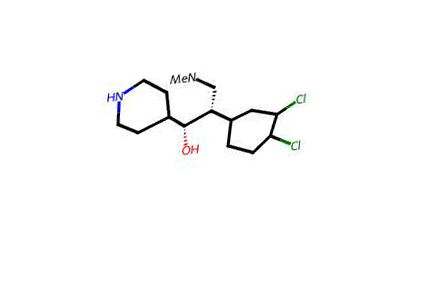 CNC[C@H](C1CCC(Cl)C(Cl)C1)[C@H](O)C1CCNCC1